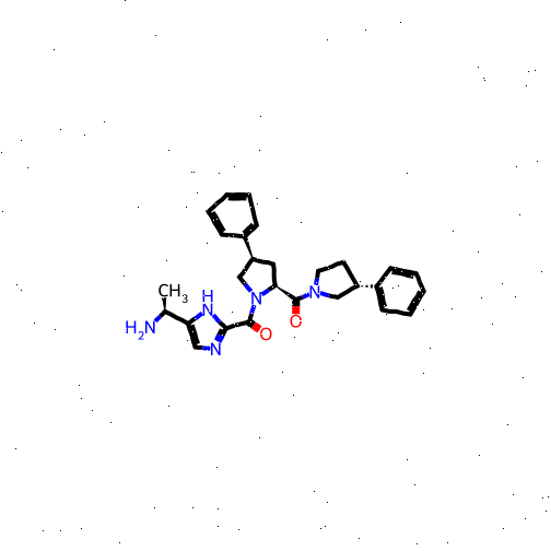 C[C@H](N)c1cnc(C(=O)N2C[C@@H](c3ccccc3)C[C@H]2C(=O)N2CC[C@H](c3ccccc3)C2)[nH]1